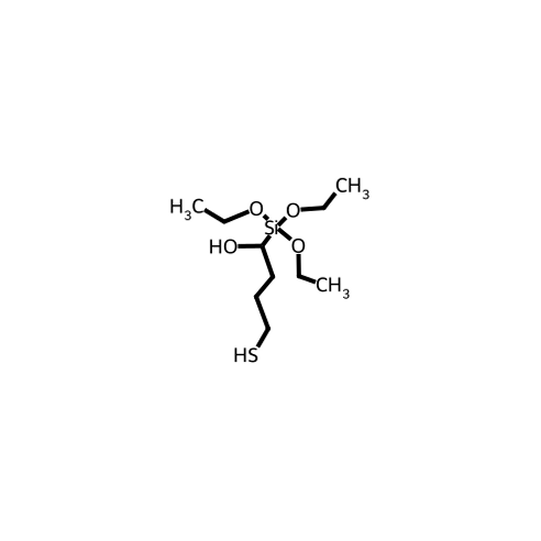 CCO[Si](OCC)(OCC)C(O)CCCS